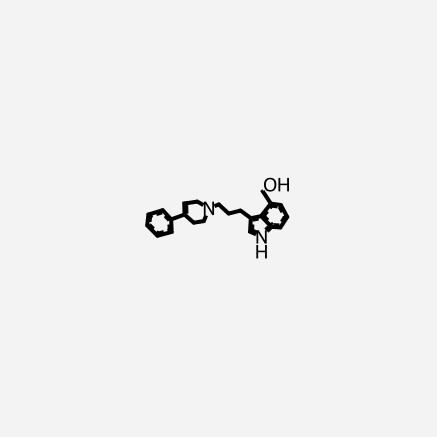 OCc1cccc2[nH]cc(CCCN3CC=C(c4ccccc4)CC3)c12